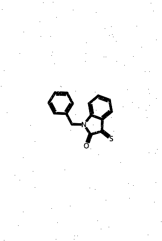 O=C1C(=S)c2ccccc2N1Cc1ccccc1